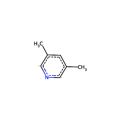 Cc1[c]n[c]c(C)c1